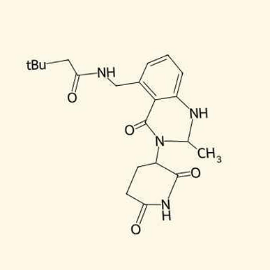 CC1Nc2cccc(CNC(=O)CC(C)(C)C)c2C(=O)N1C1CCC(=O)NC1=O